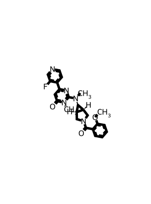 COc1ccccc1C(=O)N1C[C@@H]2[C@H](C1)[C@H]2N(C)c1nc(-c2ccncc2F)cc(=O)n1C